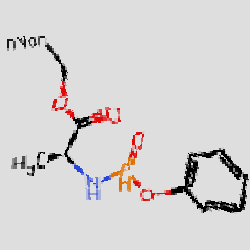 CCCCCCCCCCOC(=O)[C@H](C)N[PH](=O)Oc1ccccc1